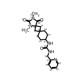 CN1C(=O)N(C)C2(CC3(CCC(NC(=O)NCc4ccccn4)CC3)C2)C1=O